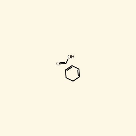 C1=CCCC=C1.O=CO